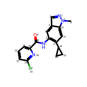 Cn1ncc2cc(NC(=O)c3cccc(Br)n3)c(C3CC3)cc21